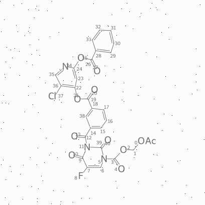 CC(=O)OCOC(=O)n1cc(F)c(=O)n(C(=O)c2cccc(C(=O)Oc3cc(OC(=O)c4ccccc4)ncc3Cl)c2)c1=O